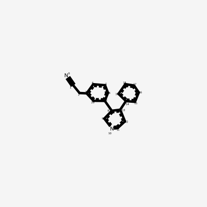 N#CCc1cccc(-c2cnccc2-c2ccccc2)c1